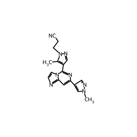 Cc1c(-c2nc(-c3cnn(C)c3)cc3nccn23)cnn1CCC#N